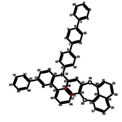 c1ccc(-c2ccc(-c3ccc(N(c4ccc5c(c4)Oc4cccc6cccc(c46)O5)c4ccc(-c5ccccc5)cc4-c4ccccc4)cc3)cc2)cc1